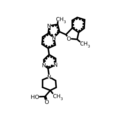 Cc1nc2ccc(-c3cnc(N4CCC(C)(C(=O)O)CC4)nc3)cn2c1C1OC(C)c2ccccc21